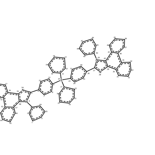 c1ccc(-n2c(-c3ccc(S(c4ccccc4)(c4ccccc4)c4ccc(-c5nc6c7ccccc7c7ccccc7c6n5-c5ccccc5)cc4)cc3)nc3c4ccccc4c4ccccc4c32)cc1